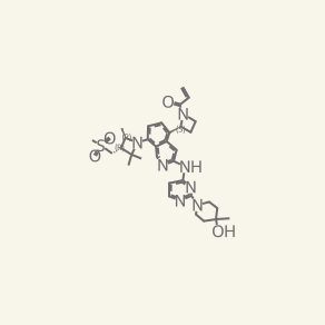 C=CC(=O)N1CC[C@H]1c1ccc(N2[C@H](C)[C@@H](CS(C)(=O)=O)C2(C)C)c2cnc(Nc3ccnc(N4CCC(C)(O)CC4)n3)cc12